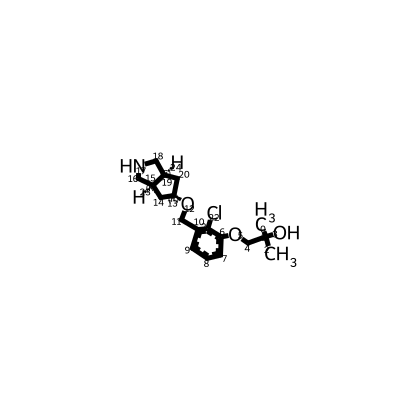 CC(C)(O)COc1cccc(CO[C@H]2C[C@H]3CNC[C@H]3C2)c1Cl